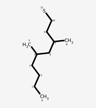 CCCCC(C)CC(C)CC[S]